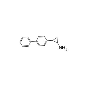 NC1CC1c1ccc(-c2ccccc2)cc1